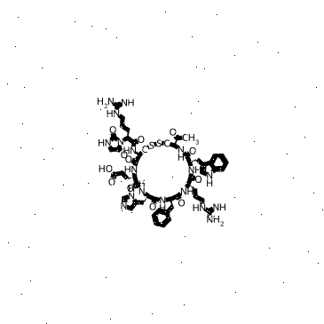 CC(=O)[C@@H]1CSSC[C@H](NC(=O)[C@H](CCCNC(=N)N)N2C(=O)CNC2=O)C(=O)N[C@@H](CCC(=O)O)C(=O)N[C@@H](CC2CN=CN2)C(=O)N[C@H](Cc2ccccc2)C(=O)N[C@@H](CCCNC(=N)N)C(=O)N[C@@H](Cc2c[nH]c3ccccc23)C(=O)N1